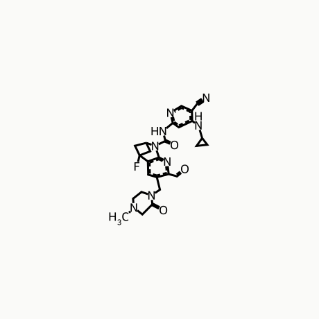 CN1CCN(Cc2cc3c(nc2C=O)N(C(=O)Nc2cc(NC4CC4)c(C#N)cn2)C2CC3(F)C2)C(=O)C1